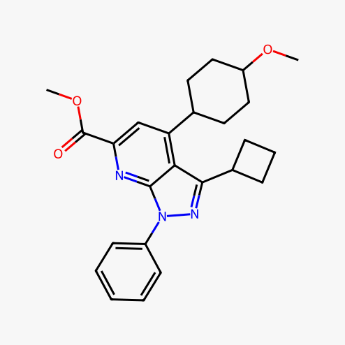 COC(=O)c1cc(C2CCC(OC)CC2)c2c(C3CCC3)nn(-c3ccccc3)c2n1